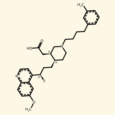 COc1ccc2nccc([C@H](F)CC[C@@H]3CCN(CCCCc4cccc(C)c4)C[C@@H]3CC(=O)O)c2c1